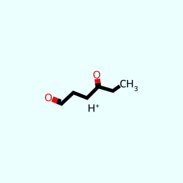 CCC(=O)CCC=O.[H+]